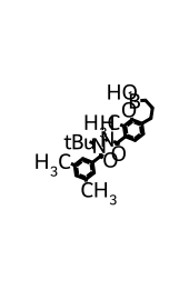 Cc1cc(C)cc(C(=O)N(NC(=O)c2ccc3c(c2C)OB(O)CCC3)C(C)(C)C)c1